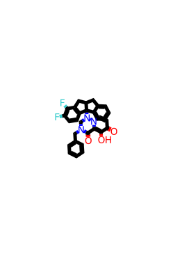 O=C1c2c(O)c(=O)ccn2N(C23c4ccccc4CC2Cc2c3ccc(F)c2F)CN1Cc1ccccc1